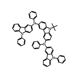 CC(C)(C)n1c2ccc(N(c3ccccc3)c3ccc4c(c3)c3ccccc3n4-c3ccccc3)cc2c2cc(N(c3ccccc3)c3ccc4c(c3)c3ccccc3n4-c3ccccc3)ccc21